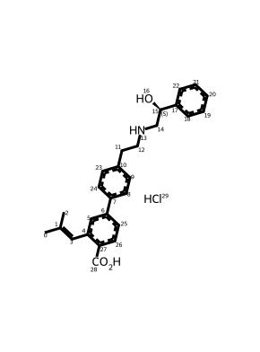 CC(C)=Cc1cc(-c2ccc(CCNC[C@@H](O)c3ccccc3)cc2)ccc1C(=O)O.Cl